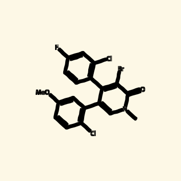 COc1ccc(Cl)c(-c2cn(C)c(=O)c(Br)c2-c2ccc(F)cc2Cl)c1